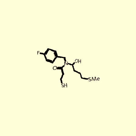 CSCCCC(O)N(Cc1ccc(F)cc1)C(=O)CCS